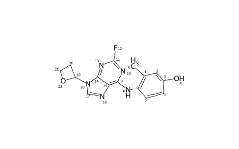 Cc1cc(O)ccc1Nc1nc(F)nc2c1ncn2C1CCO1